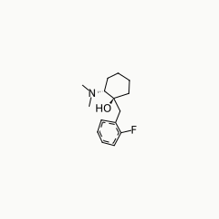 CN(C)[C@@H]1CCCC[C@]1(O)Cc1ccccc1F